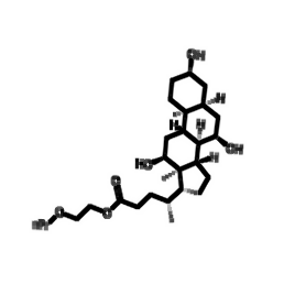 CCCOCCOC(=O)CC[C@@H](C)[C@H]1CC[C@H]2[C@@H]3[C@H](O)C[C@@H]4C[C@H](O)CC[C@]4(C)[C@H]3C[C@H](O)[C@]12C